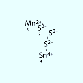 [Mn+2].[S-2].[S-2].[S-2].[Sn+4]